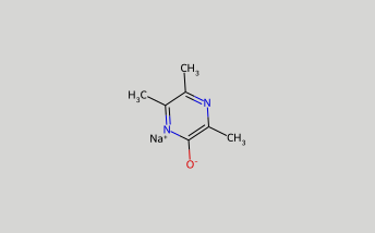 Cc1nc(C)c([O-])nc1C.[Na+]